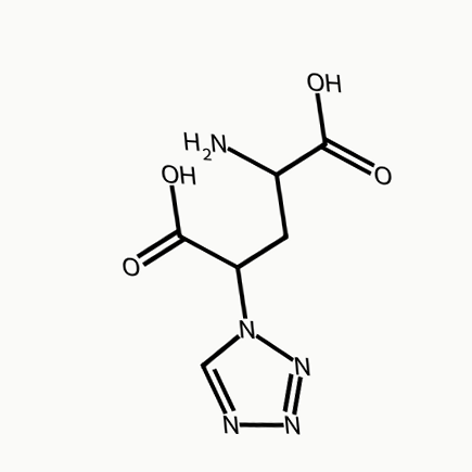 NC(CC(C(=O)O)n1cnnn1)C(=O)O